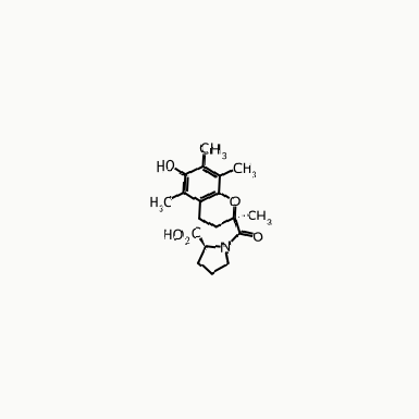 Cc1c(C)c2c(c(C)c1O)CC[C@](C)(C(=O)N1CCC[C@H]1C(=O)O)O2